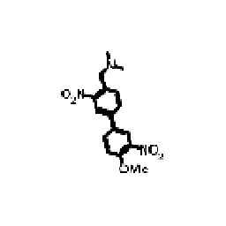 COc1ccc(-c2ccc(CN(C)C)c([N+](=O)[O-])c2)cc1[N+](=O)[O-]